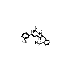 Cn1ccnc1Cc1nc2cc(-c3cccc(C#N)c3)nc(N)n2n1